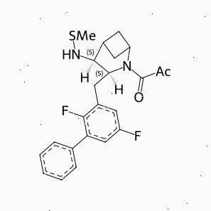 CSN[C@H]1C2CC(C2)N(C(=O)C(C)=O)[C@H]1Cc1cc(F)cc(-c2ccccc2)c1F